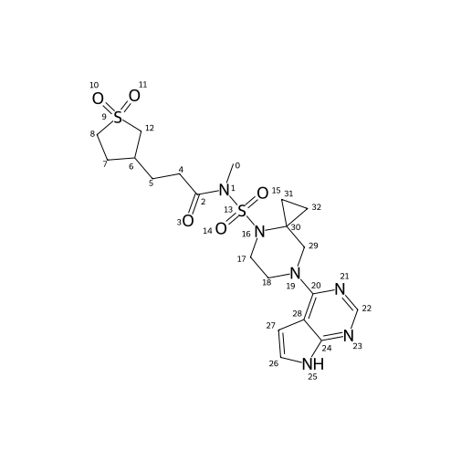 CN(C(=O)CCC1CCS(=O)(=O)C1)S(=O)(=O)N1CCN(c2ncnc3[nH]ccc23)CC12CC2